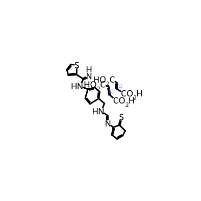 N=C(Nc1ccc(CNC=NC2=CC=CCC2=S)cc1)c1cccs1.O=C(O)/C=C/C(=O)O.O=C(O)/C=C/C(=O)O